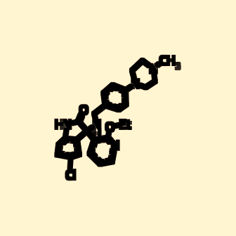 CCOc1ncccc1C1(NCc2ccc(N3CCN(C)CC3)cc2)C(=O)Nc2ccc(Cl)cc21